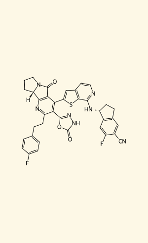 N#Cc1cc2c(cc1F)[C@H](Nc1nccc3cc(-c4c5c(nc(CCc6ccc(F)cc6)c4-c4n[nH]c(=O)o4)[C@@H]4CCCN4C5=O)sc13)CC2